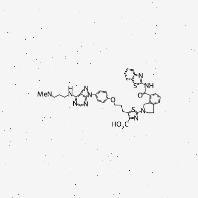 CNCCCNc1ncnc2c1cnn2-c1ccc(OCCCc2sc(N3CCc4cccc(C(=O)Nc5nc6ccccc6s5)c4C3)nc2C(=O)O)cc1